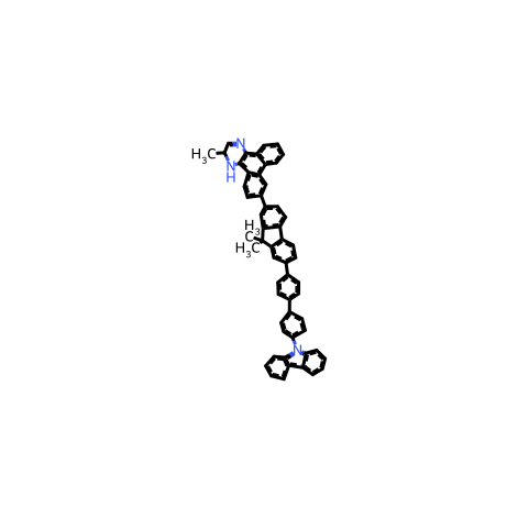 CC1C=Nc2c(c3ccc(-c4ccc5c(c4)C(C)(C)c4cc(-c6ccc(-c7ccc(-n8c9ccccc9c9ccccc98)cc7)cc6)ccc4-5)cc3c3ccccc23)N1